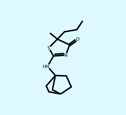 CCCC1(C)SC(NC23CCC(CC2)C3)=NC1=O